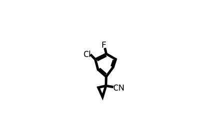 N#CC1(c2ccc(F)c(Cl)c2)CC1